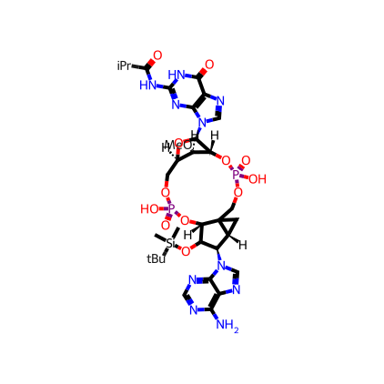 CO[C@H]1[C@H]2OP(=O)(O)OCC34C[C@@H]3[C@@H](n3cnc5c(N)ncnc53)C(O[Si](C)(C)C(C)(C)C)[C@@H]4OP(=O)(O)OC[C@H]1O[C@H]2n1cnc2c(=O)[nH]c(NC(=O)C(C)C)nc21